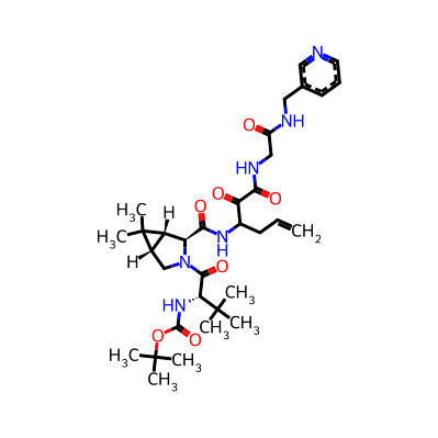 C=CCC(NC(=O)[C@@H]1[C@@H]2[C@H](CN1C(=O)[C@@H](NC(=O)OC(C)(C)C)C(C)(C)C)C2(C)C)C(=O)C(=O)NCC(=O)NCc1cccnc1